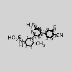 C[C@@H]1CC[C@H](NC(=O)O)CN1c1cc(-c2ccc(C#N)c(F)c2)nc(N)n1